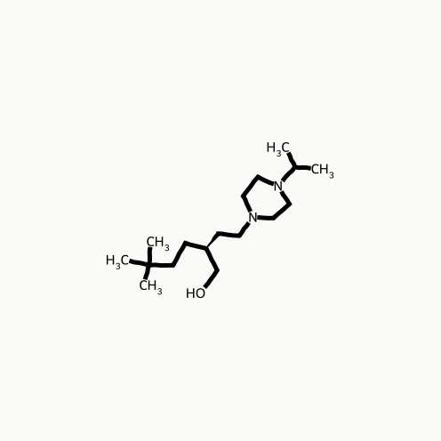 CC(C)N1CCN(CC[C@@H](CO)CCC(C)(C)C)CC1